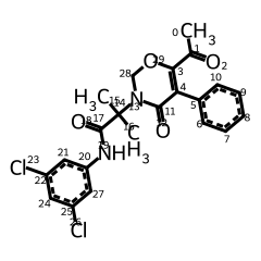 CC(=O)C1=C(c2ccccc2)C(=O)N(C(C)(C)C(=O)Nc2cc(Cl)cc(Cl)c2)CO1